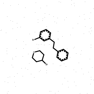 BrC1CCOCC1.Brc1cccc(CCc2ccccc2)c1